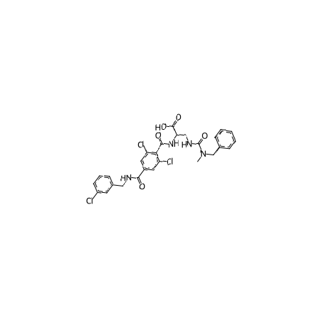 CN(Cc1ccccc1)C(=O)NCC(NC(=O)c1c(Cl)cc(C(=O)NCc2cccc(Cl)c2)cc1Cl)C(=O)O